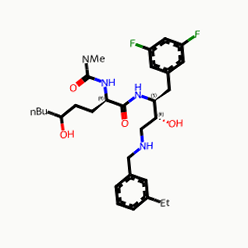 CCCCC(O)CC[C@@H](NC(=O)NC)C(=O)N[C@@H](Cc1cc(F)cc(F)c1)[C@H](O)CNCc1cccc(CC)c1